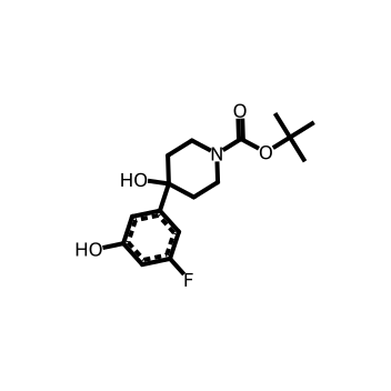 CC(C)(C)OC(=O)N1CCC(O)(c2cc(O)cc(F)c2)CC1